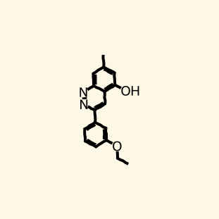 CCOc1cccc(-c2cc3c(O)cc(C)cc3nn2)c1